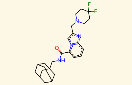 O=C(NCC12CC3CC(CC(C3)C1)C2)c1cccc2nc(CN3CCC(F)(F)CC3)cn12